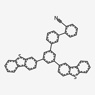 N#Cc1ccccc1-c1cccc(-c2cc(-c3ccc4c(c3)sc3ccccc34)cc(-c3ccc4sc5ccccc5c4c3)c2)c1